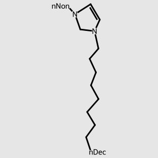 CCCCCCCCCCCCCCCCCCN1C=CN(CCCCCCCCC)C1